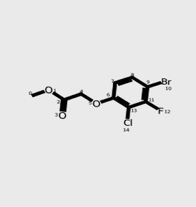 COC(=O)COc1ccc(Br)c(F)c1Cl